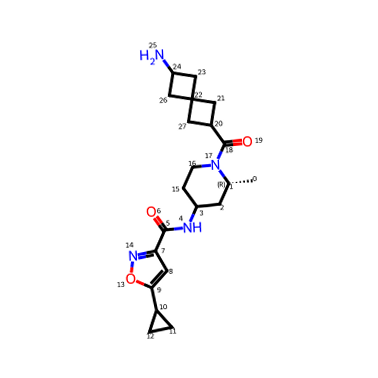 C[C@@H]1CC(NC(=O)c2cc(C3CC3)on2)CCN1C(=O)C1CC2(CC(N)C2)C1